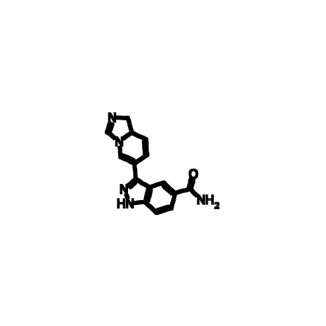 NC(=O)c1ccc2[nH]nc(C3=CN4C=NCC4C=C3)c2c1